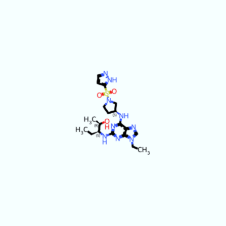 CC[C@H](Nc1nc(N[C@H]2CCN(S(=O)(=O)c3ccn[nH]3)C2)c2ncn(CC)c2n1)[C@@H](C)O